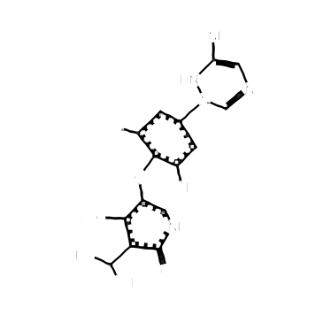 Cc1c(Oc2c(Cl)cc(N3C=NC=C(N)N3)cc2Cl)c[nH]c(=O)c1C(C)C